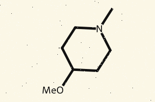 COC1[CH]CN(C)CC1